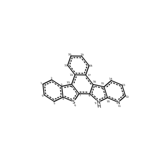 c1ccc2c(c1)sc1c3[nH]c4ncccc4c3c3ccccc3c21